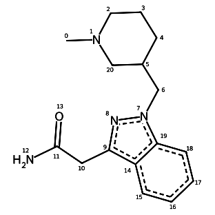 CN1CCCC(Cn2nc(CC(N)=O)c3ccccc32)C1